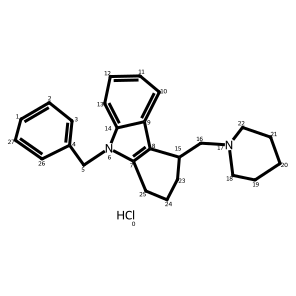 Cl.c1ccc(Cn2c3c(c4ccccc42)C(CN2CCCCC2)CCC3)cc1